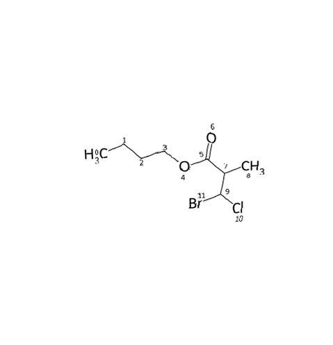 CCCCOC(=O)C(C)C(Cl)Br